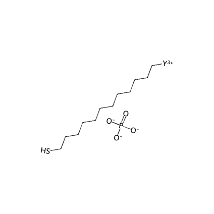 O=P([O-])([O-])[O-].SCCCCCCCCCCC[CH2][Y+3]